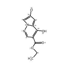 CCOC(=O)c1cnn2cc(Cl)cc2c1O